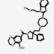 CCOCCn1c(N2CCCN(CCC3(c4ccccc4)CCN(C(=O)c4cc(OC)c5c(c4)OCCO5)C3)CC2)nc2ccccc21